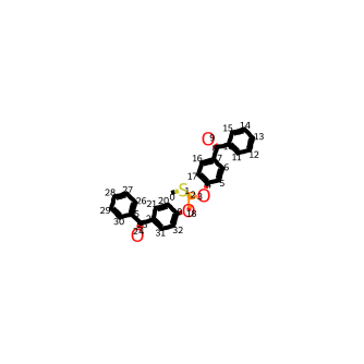 CSP(Oc1ccc(C(=O)c2ccccc2)cc1)Oc1ccc(C(=O)c2ccccc2)cc1